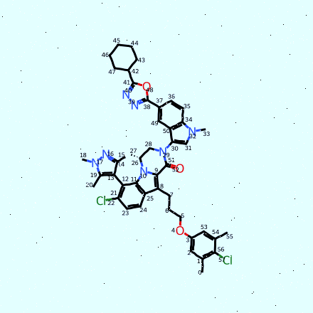 Cc1cc(OCCCc2c3n(c4c(-c5c(C)nn(C)c5C)c(Cl)ccc24)[C@H](C)CN(c2cn(C)c4ccc(-c5nnc(C6CCCCC6)o5)cc24)C3=O)cc(C)c1Cl